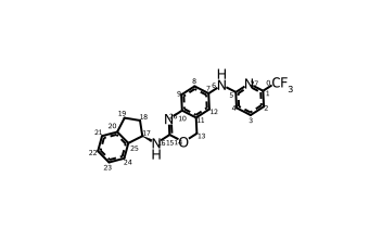 FC(F)(F)c1cccc(Nc2ccc3c(c2)COC(N[C@@H]2CCc4ccccc42)=N3)n1